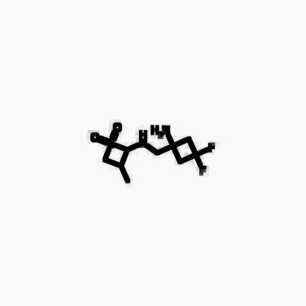 CC1CS(=O)(=O)C1NCC1(N)CC(F)(F)C1